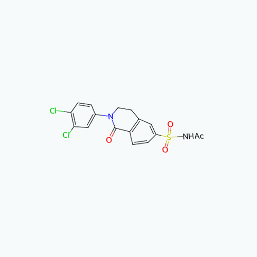 CC(=O)NS(=O)(=O)c1ccc2c(c1)CCN(c1ccc(Cl)c(Cl)c1)C2=O